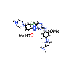 CNC(=O)c1cc(N2CCN(C)CC2)ccc1Nc1nc(Nc2ccc(N3CCC(N(C)C)C3)cc2OC)ncc1Cl